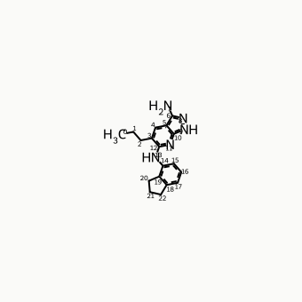 CCCc1cc2c(N)n[nH]c2nc1Nc1cccc2c1CCC2